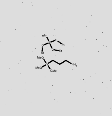 CCC[Si](OCC)(OCC)OCC.CO[Si](CCCN)(OC)OC